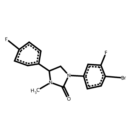 CN1C(=O)N(c2ccc(Br)c(F)c2)CC1c1ccc(F)cc1